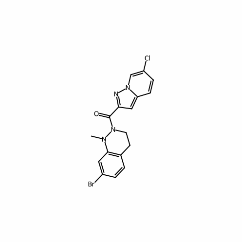 CN1c2cc(Br)ccc2CCN1C(=O)c1cc2ccc(Cl)cn2n1